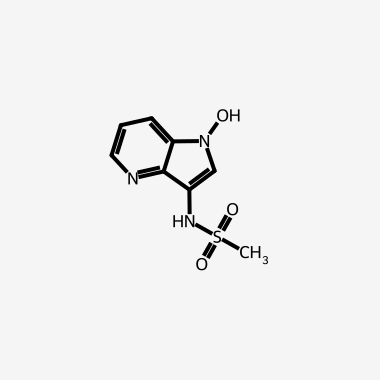 CS(=O)(=O)Nc1cn(O)c2cccnc12